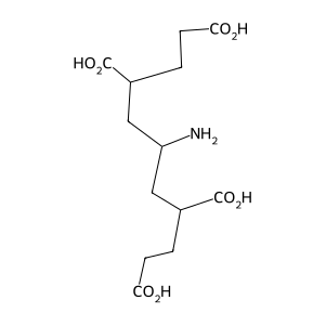 NC(CC(CCC(=O)O)C(=O)O)CC(CCC(=O)O)C(=O)O